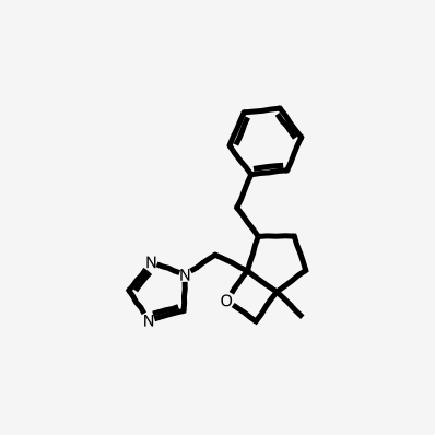 CC12CCC(Cc3ccccc3)C1(Cn1cncn1)OC2